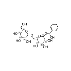 N#CC(O[C@@H]1O[C@H](COC2O[C@H](CO)[C@@H](O)[C@@H](O)[C@H]2O)[C@@H](O)[C@H](O)[C@H]1O)c1ccccc1